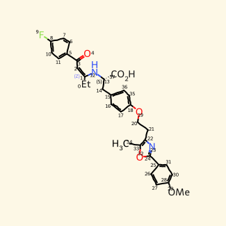 CC/C(=C/C(=O)c1ccc(F)cc1)N[C@@H](Cc1ccc(OCCc2nc(-c3ccc(OC)cc3)oc2C)cc1)C(=O)O